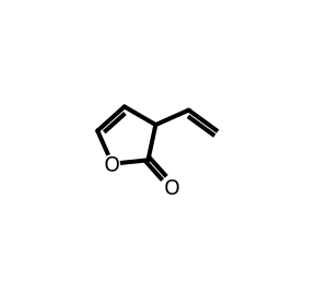 C=CC1C=COC1=O